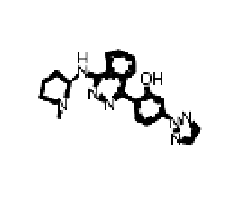 CN1CCC[C@@H](Nc2nnc(-c3ccc(-n4nccn4)cc3O)c3ccccc23)C1